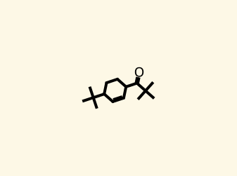 CC(C)(C)C(=O)C1C=CC(C(C)(C)C)CC1